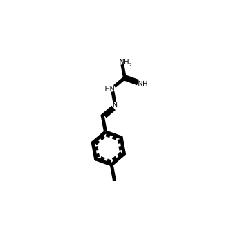 Cc1ccc(C=NNC(=N)N)cc1